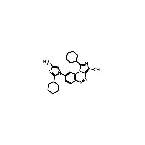 Cc1cn(-c2ccc3nnc4c(C)nc(C5CCCCC5)n4c3c2)c(C2CCCCC2)n1